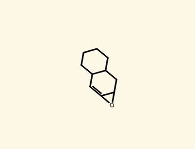 C1=C2OC2CC2CCCCC12